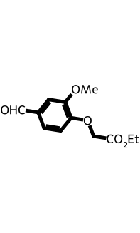 CCOC(=O)COc1ccc(C=O)cc1OC